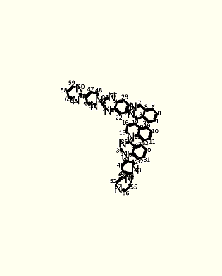 c1ccc2cnncc2c1.c1ccc2ncccc2c1.c1ccc2nccnc2c1.c1ccc2ncncc2c1.c1ccncc1.c1ccnnc1.c1cnccn1.c1cncnc1